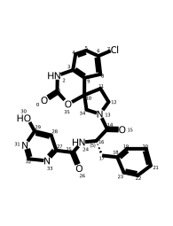 O=C1Nc2ccc(Cl)cc2C2(CCN(C(=O)[C@H](Cc3ccccc3)NC(=O)c3cc(O)ncn3)C2)O1